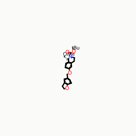 COC[C@H]1c2ccc(OCc3ccc4c(c3)CCO4)cc2CCN1C(=O)OC(C)(C)C